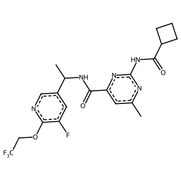 Cc1cc(C(=O)NC(C)c2cnc(OCC(F)(F)F)c(F)c2)nc(NC(=O)C2CCC2)n1